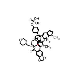 Cc1c(C(=O)N(c2ccc(OP(=O)(O)O)cc2)c2cnc3c(ccn3C)c2)cc(-c2cc3c(cc2C(=O)N2Cc4ccccc4C[C@H]2CN2CCOCC2)OCO3)n1C